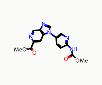 COC(=O)Nc1ccc(-n2cnc3cnc(C(=O)OC)cc32)cn1